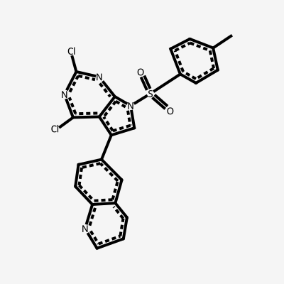 Cc1ccc(S(=O)(=O)n2cc(-c3ccc4ncccc4c3)c3c(Cl)nc(Cl)nc32)cc1